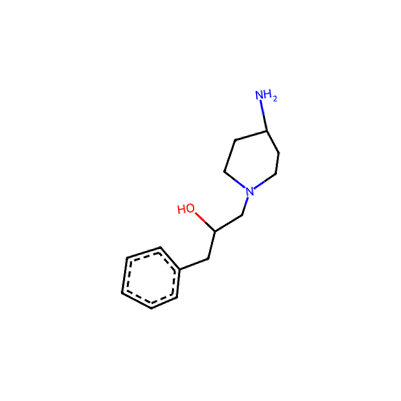 NC1CCN(CC(O)Cc2ccccc2)CC1